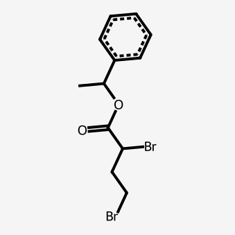 CC(OC(=O)C(Br)CCBr)c1ccccc1